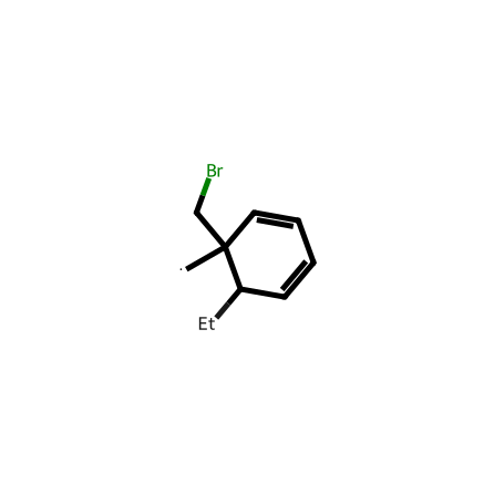 [CH2]C1(CBr)C=CC=CC1CC